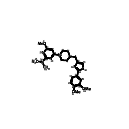 COc1cc(N2CCN(Cc3csc(-c4ccc(OC)c(OC)c4)n3)CC2)nc(N(C)C)n1